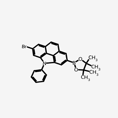 CC1(C)OB(c2cc3ccc4cc(Br)cc5c4c3c(c2)n5-c2ccccc2)OC1(C)C